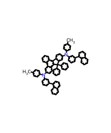 Cc1ccc(N(c2cccc(-c3cccc4ccccc34)c2)c2ccc3c(c2)C(c2ccccc2)(c2ccccc2)c2c-3c3ccccc3c3cc(N(c4ccc(C)cc4)c4cccc(-c5cccc6ccccc56)c4)ccc23)cc1